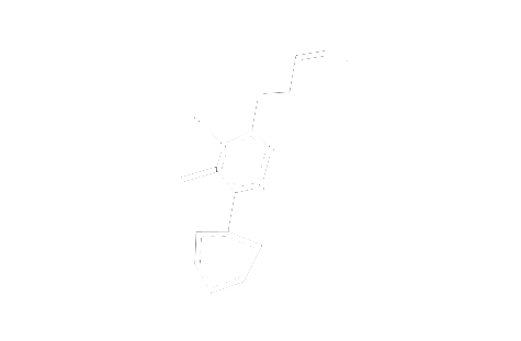 C=CCSc1nnc(-c2ccccc2)c(=O)n1N